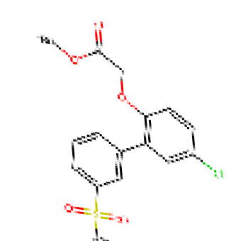 CCCS(=O)(=O)c1cccc(-c2cc(Cl)ccc2OCC(=O)OC(C)(C)C)c1